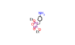 CCO[PH](=O)C(Cc1ccc(N)cc1)[PH](=O)OCC